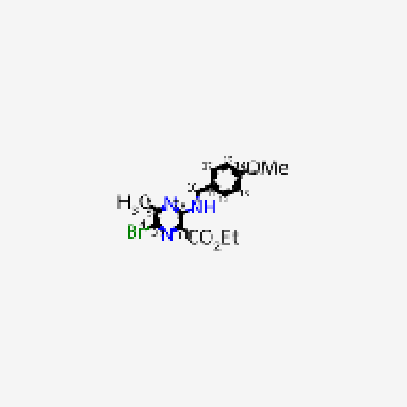 CCOC(=O)c1nc(Br)c(C)nc1NCc1ccc(OC)cc1